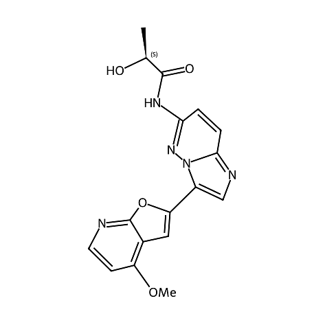 COc1ccnc2oc(-c3cnc4ccc(NC(=O)[C@H](C)O)nn34)cc12